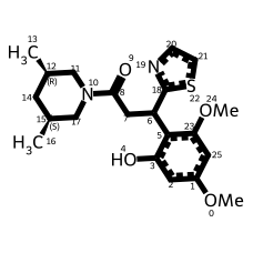 COc1cc(O)c(C(CC(=O)N2C[C@H](C)C[C@H](C)C2)c2nccs2)c(OC)c1